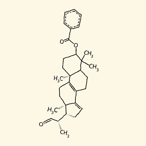 C[C@H](C=O)[C@H]1CC=C2C3=C(CC[C@@]21C)[C@@]1(C)CCC(OC(=O)c2ccccc2)C(C)(C)C1CC3